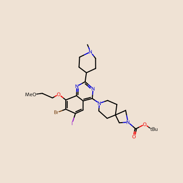 COCCOc1c(Br)c(I)cc2c(N3CCC4(CC3)CN(C(=O)OC(C)(C)C)C4)nc(C3CCN(C)CC3)nc12